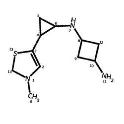 CN1C=C(C2CC2NC2CC(N)C2)SC1